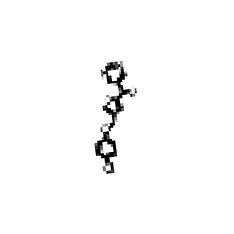 O=C(c1cncnc1)c1cc(COc2ccc(Cl)cc2)cs1